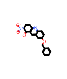 O=C1c2cc3cc(OCc4ccccc4)ccc3nc2C=CC1[N+](=O)[O-]